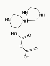 C1CNCCN1.C1CNCCN1.O=C(O)OC(=O)O